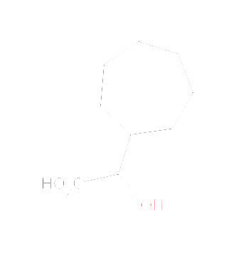 O=C(O)C(O)C1CCCCCC1